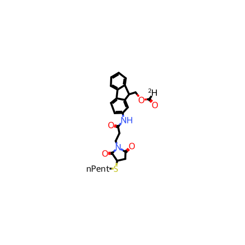 [2H]C(=O)OCC1c2ccccc2-c2ccc(NC(=O)CCN3C(=O)CC(SCCCCC)C3=O)cc21